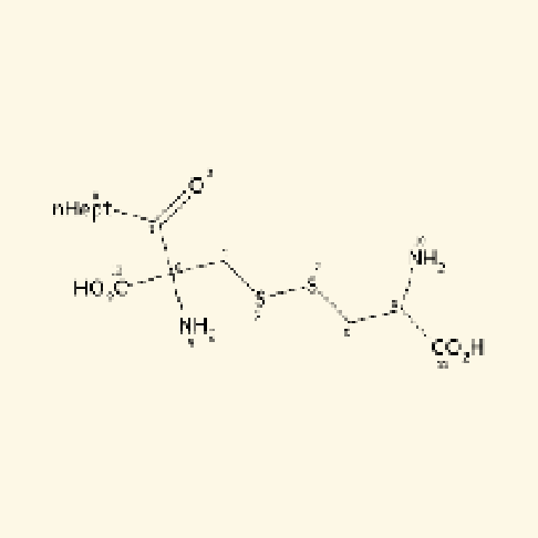 CCCCCCCC(=O)C(N)(CSSCC(N)C(=O)O)C(=O)O